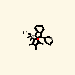 CC1=C(C)C(C)[C]([Zr]([CH3])([CH3])(=[SiH2])[CH]2C(C)=C(c3cccnc3)c3ccccc32)=C1C